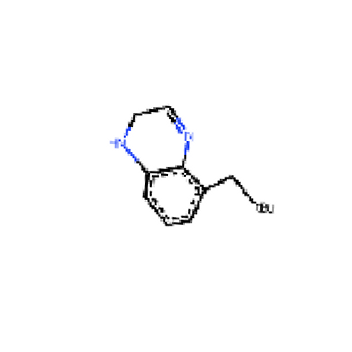 CC(C)(C)Cc1cccc2c1N=CCN2